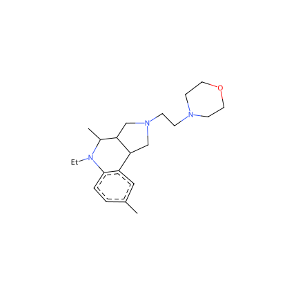 CCN1c2ccc(C)cc2C2CN(CCN3CCOCC3)CC2C1C